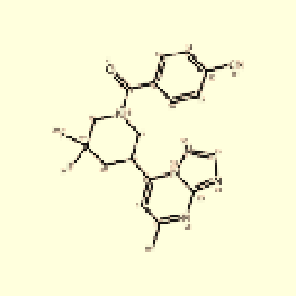 Cc1cc(C2CN(C(=O)c3ccc(C#N)cc3)CC(F)(F)C2)n2ncnc2n1